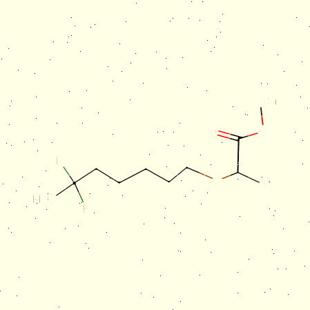 CC(C)C(SCCCCCC(C)(F)F)C(=O)OC(C)(C)C